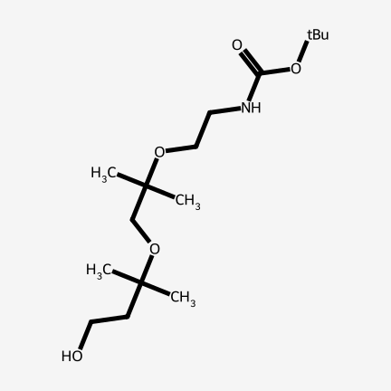 CC(C)(C)OC(=O)NCCOC(C)(C)COC(C)(C)CCO